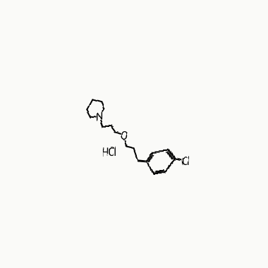 Cl.Clc1ccc(CCCOCCCN2CCCCC2)cc1